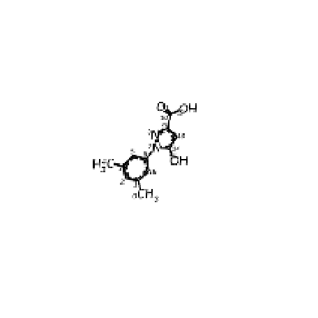 Cc1cc(C)cc(-n2nc(C(=O)O)cc2O)c1